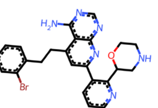 Nc1ncnc2nc(-c3cccnc3C3CNCCO3)cc(CCc3ccccc3Br)c12